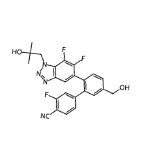 CC(C)(O)Cn1nnc2cc(-c3ccc(CO)cc3-c3ccc(C#N)c(F)c3)c(F)c(F)c21